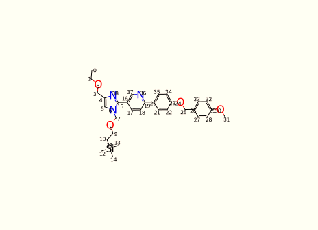 CCOCc1cn(COCC[Si](C)(C)C)c(-c2ccc(-c3ccc(OCc4ccc(OC)cc4)cc3)nc2)n1